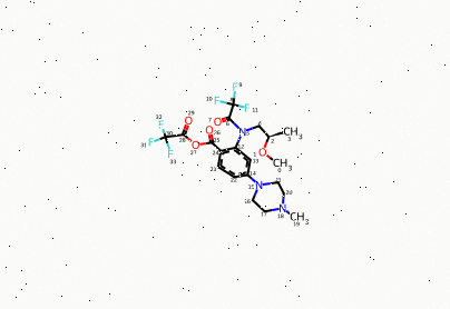 CO[C@H](C)CN(C(=O)C(F)(F)F)c1cc(N2CCN(C)CC2)ccc1C(=O)OC(=O)C(F)(F)F